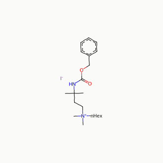 CCCCCC[N+](C)(C)CCC(C)(C)NC(=O)OCc1ccccc1.[I-]